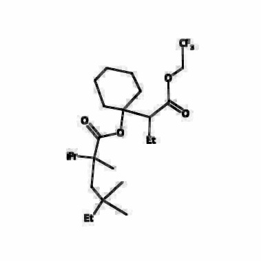 CCC(C(=O)OCC(F)(F)F)C1(OC(=O)C(C)(CC(C)(C)CC)C(C)C)CCCCC1